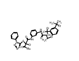 CCC(C)(C)c1ccc(OC(C)CC(=O)Nc2cccc(NC(=O)C(Cl)(Sc3nnnn3-c3ccccc3)C(=O)C(C)(C)C)c2)c(C(C)(C)CC)c1